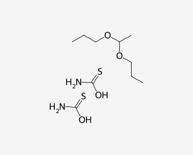 CCCOC(C)OCCC.NC(O)=S.NC(O)=S